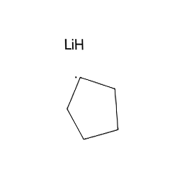 [CH]1CCCC1.[LiH]